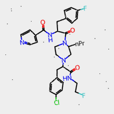 CCCC1CN(C(Cc2ccc(Cl)cc2)C(=O)NCCF)CCN1C(=O)C(Cc1ccc(F)cc1)NC(=O)c1ccncc1